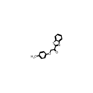 Cc1ccc(OCC(=O)c2nc3ccccc3s2)cc1